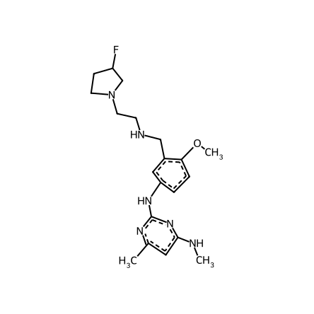 CNc1cc(C)nc(Nc2ccc(OC)c(CNCCN3CCC(F)C3)c2)n1